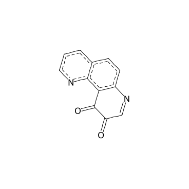 O=C1C=Nc2ccc3cccnc3c2C1=O